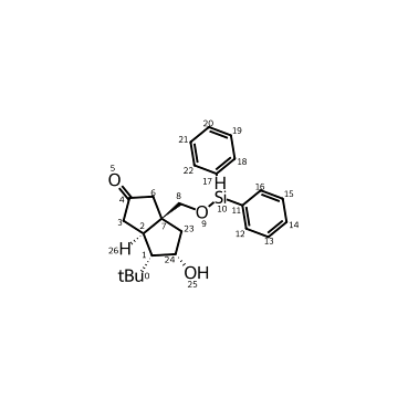 CC(C)(C)[C@@H]1[C@H]2CC(=O)C[C@]2(CO[SiH](c2ccccc2)c2ccccc2)C[C@@H]1O